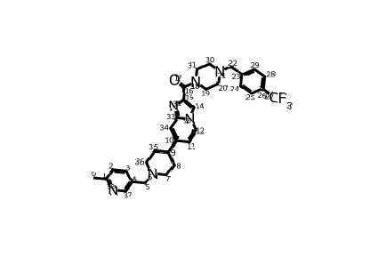 Cc1ccc(CN2CCC(c3ccn4cc(C(=O)N5CCN(Cc6ccc(C(F)(F)F)cc6)CC5)nc4c3)CC2)cn1